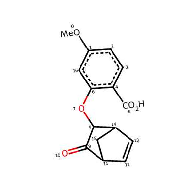 COc1ccc(C(=O)O)c(OC2C(=O)C3C=CC2C3)c1